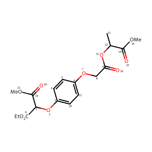 CCOC(=O)C(Oc1ccc(OCC(=O)OC(C)C(=O)OC)cc1)C(=O)OC